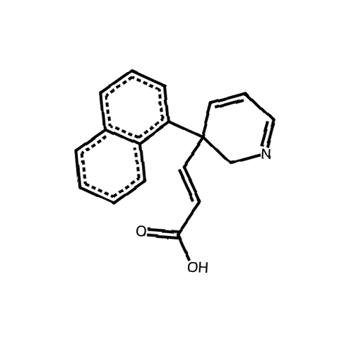 O=C(O)/C=C/C1(c2cccc3ccccc23)C=CC=NC1